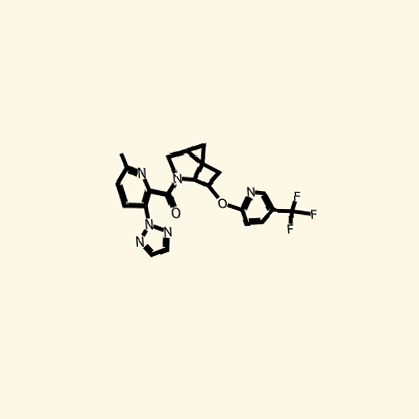 Cc1ccc(-n2nccn2)c(C(=O)N2CC3CC34CC(Oc3ccc(C(F)(F)F)cn3)C24)n1